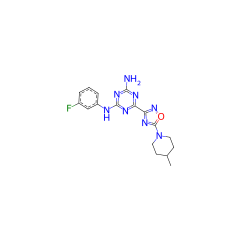 CC1CCN(c2nc(-c3nc(N)nc(Nc4cccc(F)c4)n3)no2)CC1